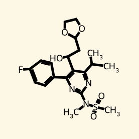 CC(C)c1nc(N(C)S(C)(=O)=O)nc(-c2ccc(F)cc2)c1C(O)CC1OCCO1